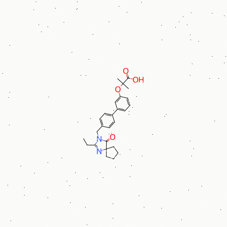 CCC1=NC2(CCCC2)C(=O)N1Cc1ccc(-c2cccc(OC(C)(C)C(=O)O)c2)cc1